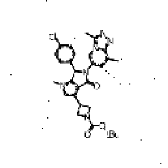 Cc1cc(N2C(=O)c3c(C4CN(C(=O)OC(C)(C)C)C4)cn(C)c3C2c2ccc(Cl)cc2)cn2c(C)nnc12